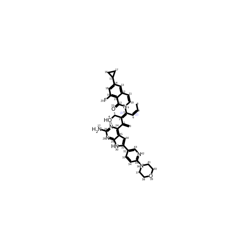 C=C(/C(CO)=C(\C=C/C)n1ccc2cc(C3CC3)cc(F)c2c1=O)c1nc(N)nc2[nH]c(-c3ccc(N4CCOCC4)nc3)cc12